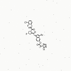 CC(=O)c1cn(CC(=O)N2C[C@H](F)C[C@H]2C(=O)NCc2cccc(Cl)c2F)c2ccc(OC(=O)N(C)c3nnn[nH]3)cc12